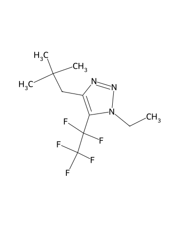 CCn1nnc(CC(C)(C)C)c1C(F)(F)C(F)(F)F